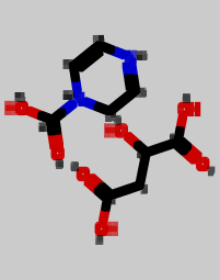 O=C(O)CC(O)C(=O)O.O=C(O)N1C=CN=CC1